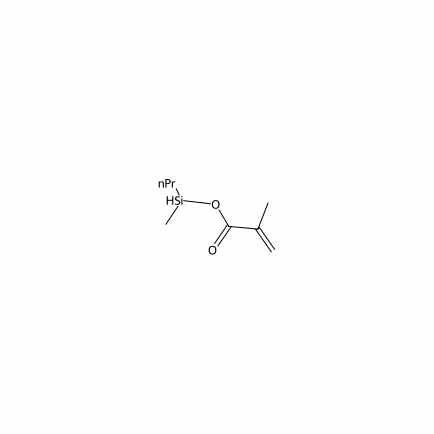 C=C(C)C(=O)O[SiH](C)CCC